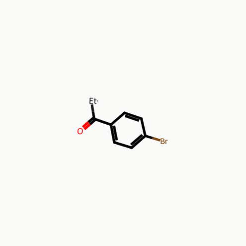 C[CH]C(=O)c1ccc(Br)cc1